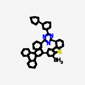 Bc1cc(-c2ccc3c4ccccc4c4ccccc4c3c2)cc2c1sc1cccc(-c3nc(-c4ccccc4)nc(-c4cccc(-c5ccccc5)c4)n3)c12